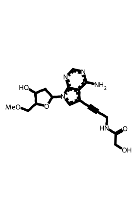 COCC1OC(n2cc(C#CCNC(=O)CO)c3c(N)ncnc32)CC1O